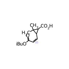 CC(C)COC(=O)/C=C\C1C(C(=O)O)C1(C)C